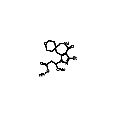 CCCOC(=O)CC(OC)n1nc(CC)c2c1CC1(CCOCC1)CNC2=O